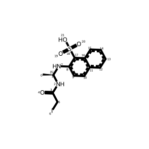 C[C@H](NC(=O)CI)Nc1ccc2ccccc2c1S(=O)(=O)O